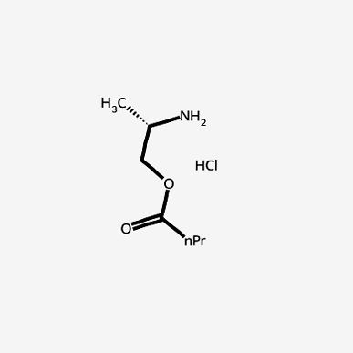 CCCC(=O)OC[C@H](C)N.Cl